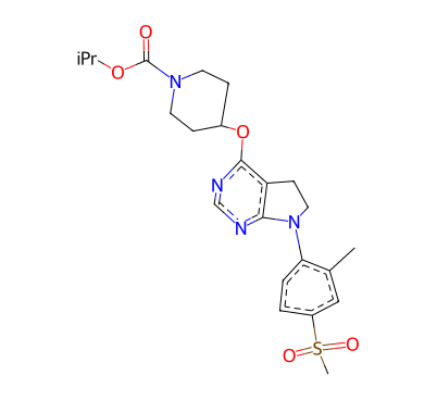 Cc1cc(S(C)(=O)=O)ccc1N1CCc2c(OC3CCN(C(=O)OC(C)C)CC3)ncnc21